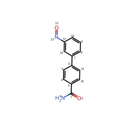 NC(=O)c1ccc(-c2cccc(N=O)c2)cc1